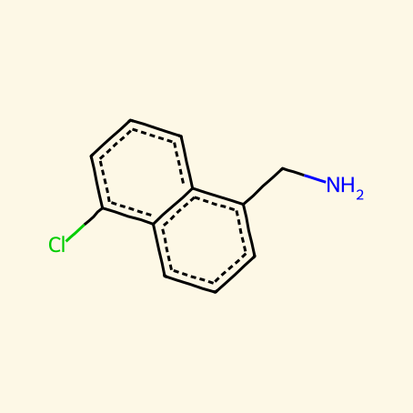 NCc1cccc2c(Cl)cccc12